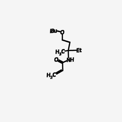 C=CC(=O)NC(C)(CC)CCOC(C)CC